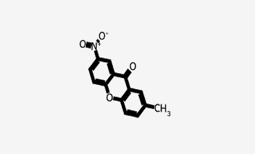 Cc1ccc2oc3ccc([N+](=O)[O-])cc3c(=O)c2c1